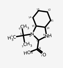 CC(C)(C)N1C(C(=O)O)NC2CCCCC21